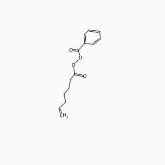 C=CCCCCC(=O)OOC(=O)c1ccccc1